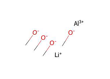 C[O-].C[O-].C[O-].C[O-].[Al+3].[Li+]